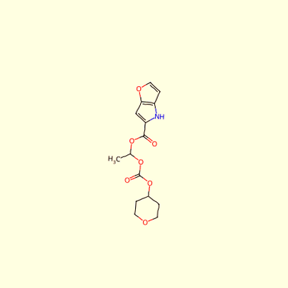 CC(OC(=O)OC1CCOCC1)OC(=O)c1cc2occc2[nH]1